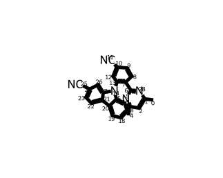 Cc1cc(C)nc(-c2ccc(C#N)cc2-n2c3ccccc3c3ccc(C#N)cc32)n1